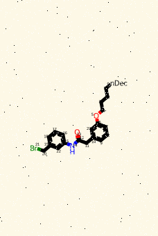 CCCCCCCCCCCCCCOc1cccc(CC(=O)Nc2cccc(CBr)c2)c1